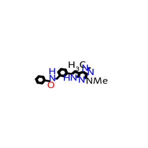 CNc1nc2[nH]c(-c3cccc(CNC(=O)c4ccccc4)c3)cc2c2c1ncn2C